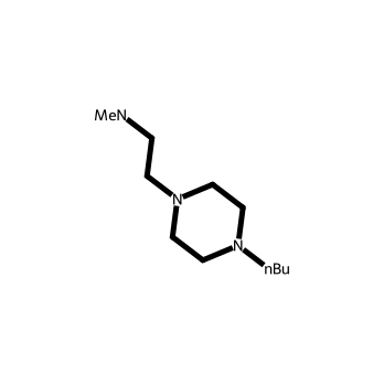 CCCCN1CCN(CCNC)CC1